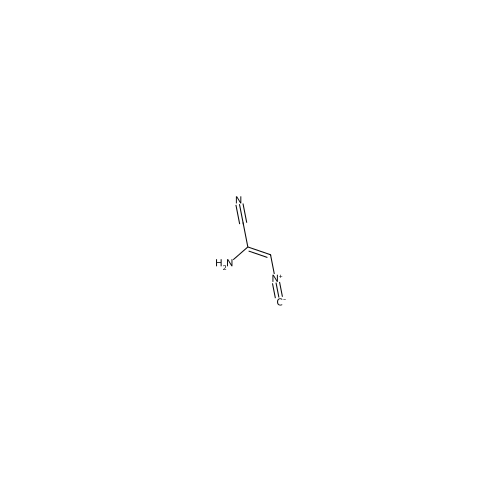 [C-]#[N+]C=C(N)C#N